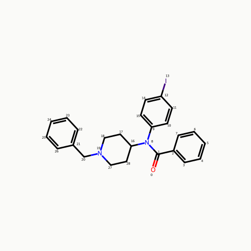 O=C(c1ccccc1)N(c1ccc(I)cc1)C1CCN(Cc2ccccc2)CC1